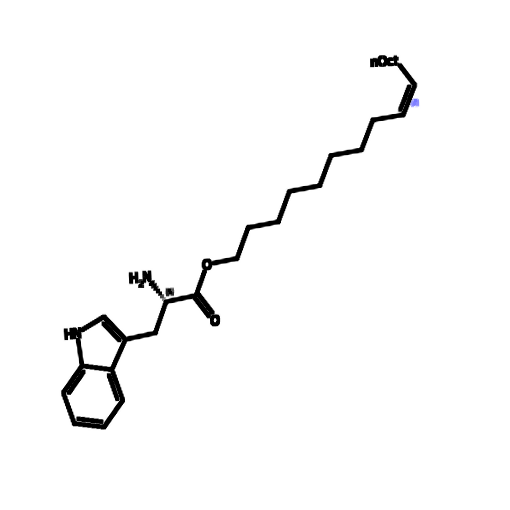 CCCCCCCC/C=C\CCCCCCCCOC(=O)[C@@H](N)Cc1c[nH]c2ccccc12